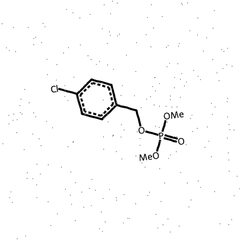 COP(=O)(OC)OCc1ccc(Cl)cc1